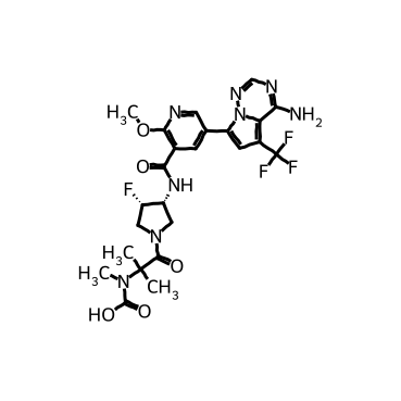 COc1ncc(-c2cc(C(F)(F)F)c3c(N)ncnn23)cc1C(=O)N[C@@H]1CN(C(=O)C(C)(C)N(C)C(=O)O)C[C@@H]1F